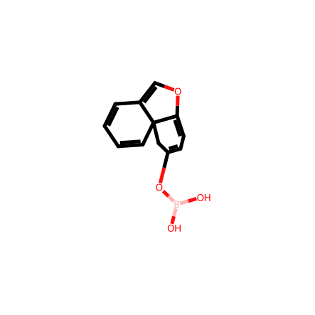 OB(O)OC1=CC=C2OC=C3C=CC=CC32C1